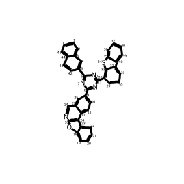 c1ccc2cc(-c3nc(-c4ccc5c(cnc6oc7ccccc7c65)c4)nc(-c4cccc5c4sc4ccccc45)n3)ccc2c1